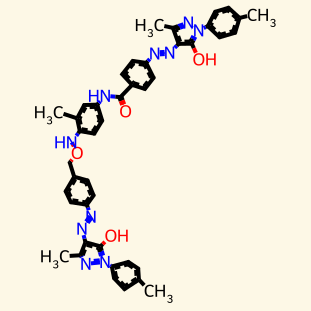 Cc1ccc(-n2nc(C)c(N=Nc3ccc(CONc4ccc(NC(=O)c5ccc(N=Nc6c(C)nn(-c7ccc(C)cc7)c6O)cc5)cc4C)cc3)c2O)cc1